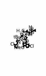 C=C[C@@H]1C[C@]1(NC(=O)[C@@H]1C[C@@H](Oc2ncc(OC)c3ccc(Cl)cc23)CN1C(=O)[C@@H](NC1=NC(c2sccc2Cl)CS1)C(C)(C)C)C(=O)NS(=O)(=O)C1CC1